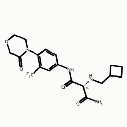 NC(=O)[C@@H](NCC1CCC1)C(=O)Nc1ccc(N2CCOCC2=O)c(C(F)(F)F)c1